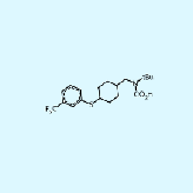 CC(C)(C)N(CC1CCC(Sc2cccc(C(F)(F)F)c2)CC1)C(=O)O